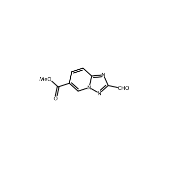 COC(=O)c1ccc2nc(C=O)nn2c1